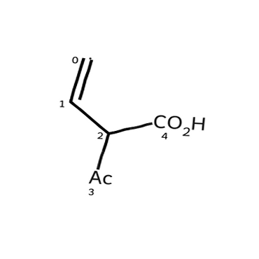 [CH]=CC(C(C)=O)C(=O)O